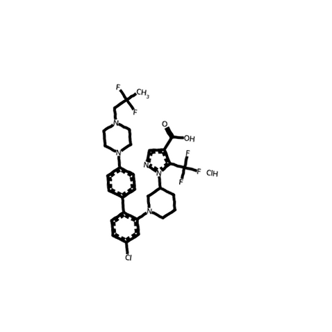 CC(F)(F)CN1CCN(c2ccc(-c3ccc(Cl)cc3N3CCCC(n4ncc(C(=O)O)c4C(F)(F)F)C3)cc2)CC1.Cl